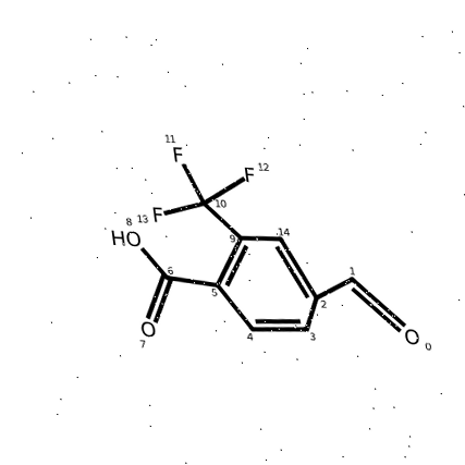 O=Cc1ccc(C(=O)O)c(C(F)(F)F)c1